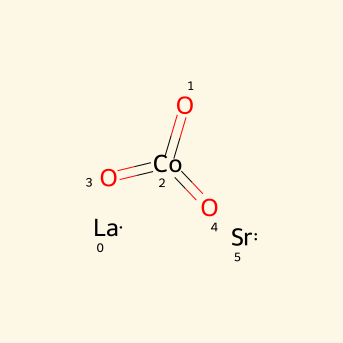 [La].[O]=[Co](=[O])=[O].[Sr]